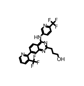 OCCCc1nc(Nc2ccc(C(F)(F)F)nc2)c2ccc(-c3ncccc3C(F)(F)F)cc2n1